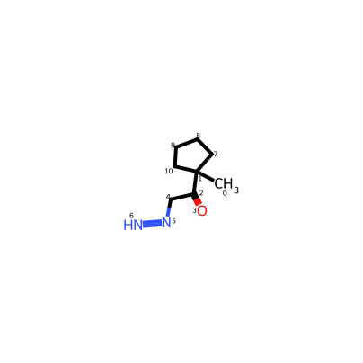 CC1(C(=O)CN=N)CCCC1